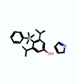 C1=CCN=C1.CC(C)c1cc(O)cc(C(C)C)[c]1[Ru]([CH3])([CH3])([CH3])[c]1ccccc1